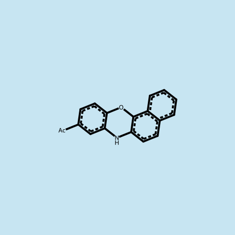 CC(=O)c1ccc2c(c1)Nc1ccc3ccccc3c1O2